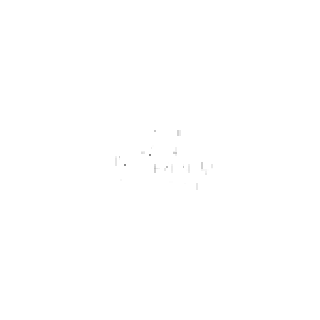 CC(C)NC(C)C.CCNCC.CCNCC.CCNCC.[Hf]